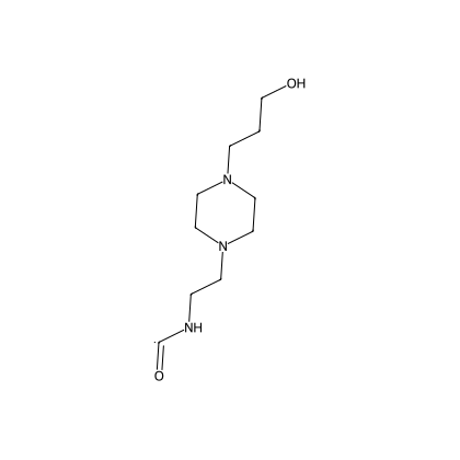 O=[C]NCCN1CCN(CCCO)CC1